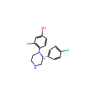 Oc1ccc(N2CCNC[C@H]2c2ccc(Cl)cc2)c(Cl)c1